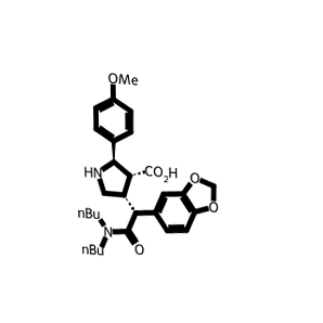 CCCCN(CCCC)C(=O)C(c1ccc2c(c1)OCO2)[C@@H]1CN[C@@H](c2ccc(OC)cc2)[C@@H]1C(=O)O